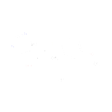 CC#CC(O)(c1cncnc1)C(C)(C)Sc1ccc(OC(F)(F)F)cc1